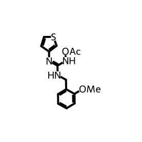 COc1ccccc1CNC(=Nc1ccsc1)NOC(C)=O